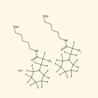 O=C([O-])CCCCCNC(=O)C(F)(C(F)(F)F)C(F)(F)N1C(F)(F)C(F)(F)C(F)(F)C(F)(F)C1(F)F.O=C([O-])CCCCCNC(=O)C(F)(C(F)(F)F)C(F)(F)N1C(F)(F)C(F)(F)C(F)(F)C(F)(F)C1(F)F.[Ca+2]